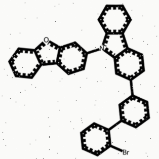 Brc1ccccc1-c1cccc(-c2ccc3c4ccccc4n(-c4ccc5c(c4)oc4ccccc45)c3c2)c1